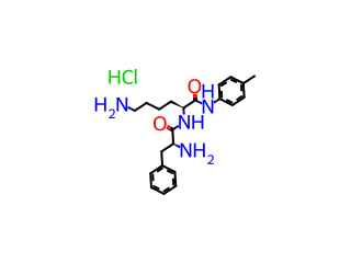 Cc1ccc(NC(=O)[C@H](CCCCN)NC(=O)[C@@H](N)Cc2ccccc2)cc1.Cl